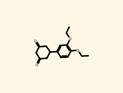 CCOc1ccc(C2CC(=O)CC(=O)C2)cc1OCC